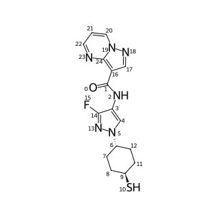 O=C(Nc1cn([C@H]2CC[C@H](S)CC2)nc1F)c1cnn2cccnc12